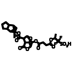 CC(C)C1(OC(=O)C2C3OC4C(OC(=O)C42)C3OC(=O)CCC(=O)OC(C)C(F)(F)S(=O)(=O)O)CC2CC1C1CCCC21